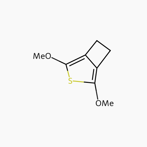 COc1sc(OC)c2c1CC2